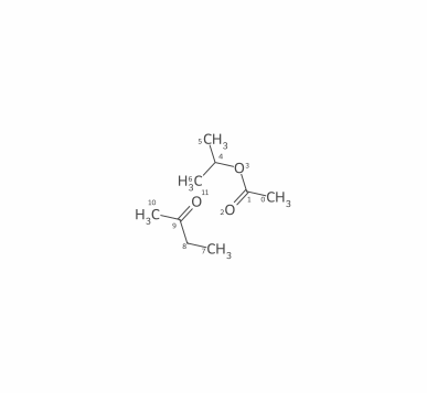 CC(=O)OC(C)C.CCC(C)=O